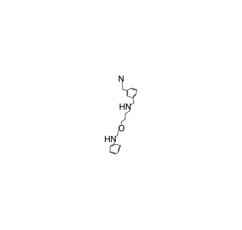 N#CCc1cccc(CNCCCCOCCNc2ccccc2)c1